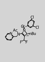 CCCC[C@H]1C(C(F)F)=C(N(Cc2ccccn2)C(C)=O)N1[S+]([O-])c1cc(Cl)cc(Cl)c1